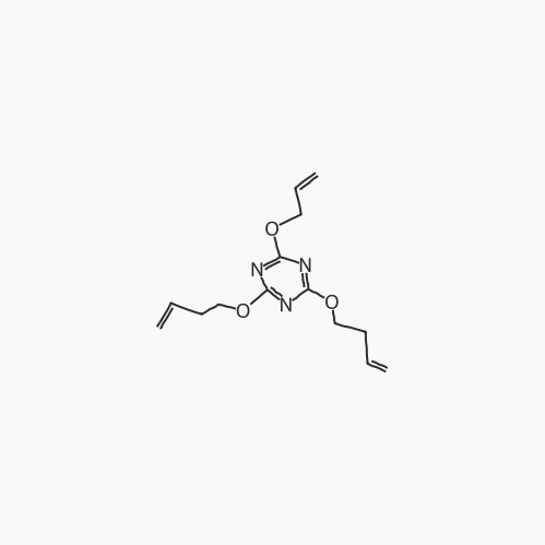 C=CCCOc1nc(OCC=C)nc(OCCC=C)n1